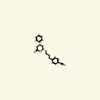 N#Cc1ccc(CCCC[C@H]2C[C@@H](c3ccccc3)CC(=O)O2)cc1